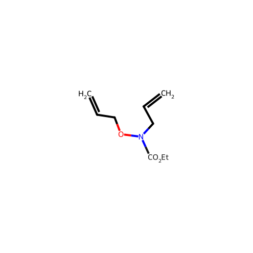 C=CCON(CC=C)C(=O)OCC